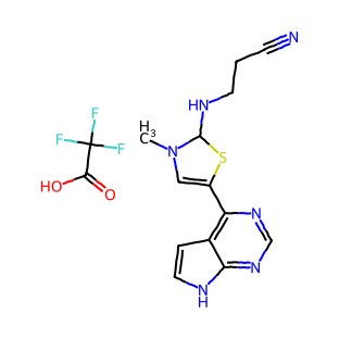 CN1C=C(c2ncnc3[nH]ccc23)SC1NCCC#N.O=C(O)C(F)(F)F